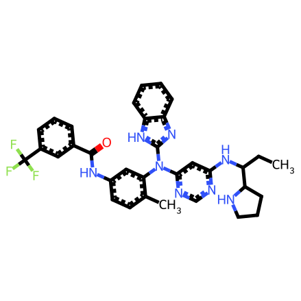 CCC(Nc1cc(N(c2nc3ccccc3[nH]2)c2cc(NC(=O)c3cccc(C(F)(F)F)c3)ccc2C)ncn1)C1CCCN1